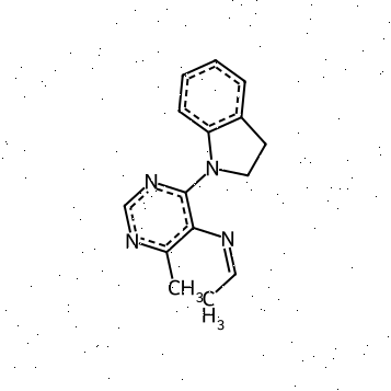 C/C=N\c1c(C)ncnc1N1CCc2ccccc21